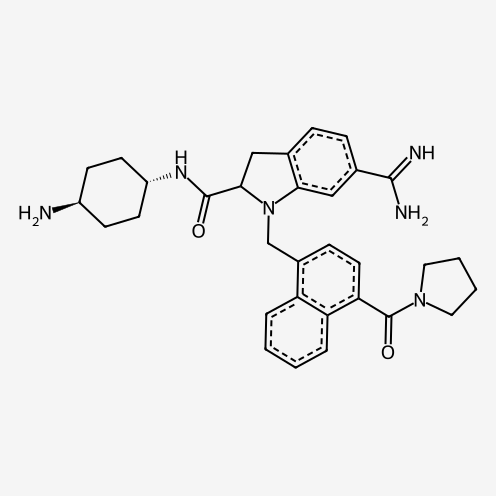 N=C(N)c1ccc2c(c1)N(Cc1ccc(C(=O)N3CCCC3)c3ccccc13)C(C(=O)N[C@H]1CC[C@H](N)CC1)C2